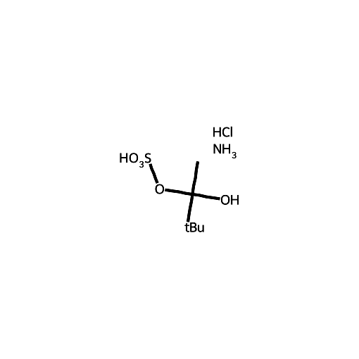 CC(C)(C)C(C)(O)OS(=O)(=O)O.Cl.N